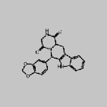 O=C1NCC(=O)N2C1Cc1c([nH]c3ccccc13)[C@H]2c1ccc2c(c1)OCO2